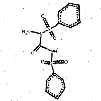 CN(C(=O)NS(=O)(=O)c1ccccc1)S(=O)(=O)c1ccccc1